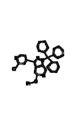 CC(C)Oc1cc2c(-c3ccnc(Cl)c3)nn(C(c3ccccc3)(c3ccccc3)c3ccccc3)c2cn1